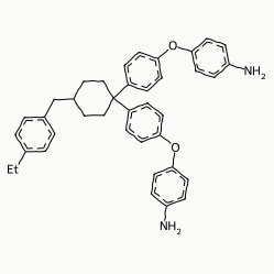 CCc1ccc(CC2CCC(c3ccc(Oc4ccc(N)cc4)cc3)(c3ccc(Oc4ccc(N)cc4)cc3)CC2)cc1